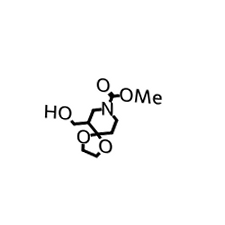 COC(=O)N1CCC2(OCCO2)C(CO)C1